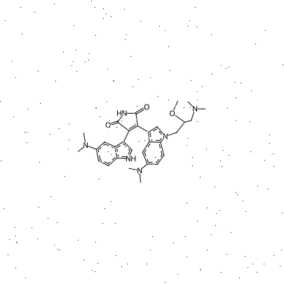 COC(CN(C)C)Cn1cc(C2=C(c3c[nH]c4ccc(N(C)C)cc34)C(=O)NC2=O)c2cc(N(C)C)ccc21